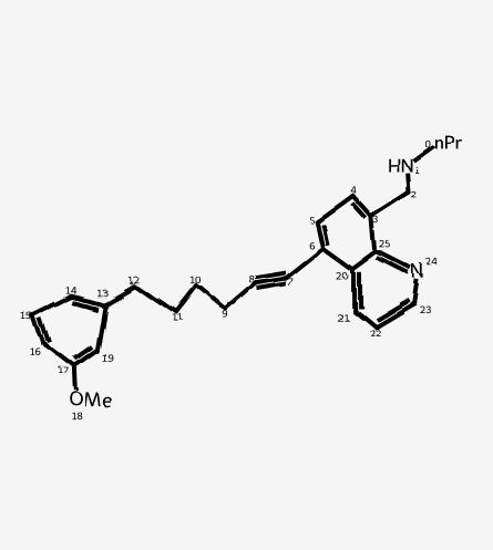 [CH2]CCNCc1ccc(C#CCCCCc2cccc(OC)c2)c2cccnc12